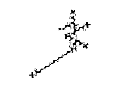 CC(C)[C@H](NC(=O)C(CCC(=O)OC(C)(C)C)NC(=O)[C@H](CC(=O)OC(C)(C)C)NC(=O)CN=[N+]=[N-])C(=O)NC(CC(=O)OC(C)(C)C)C(=O)N[C@@H](C)C(=O)NCCOCCOCCOCCOCCC(=O)OC(C)(C)C